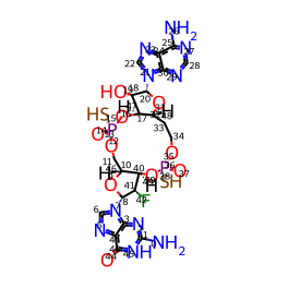 Nc1nc2c(ncn2[C@@H]2O[C@@H]3CO[P@@](=O)(S)O[C@H]4[C@@H](O)[C@H](n5cnc6c(N)ncnc65)O[C@@H]4CCO[P@](=O)(S)O[C@H]3[C@H]2F)c(=O)[nH]1